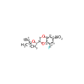 CC(C)(C)[Si](C)(C)OCC1COc2cc([N+](=O)[O-])cc(F)c2O1